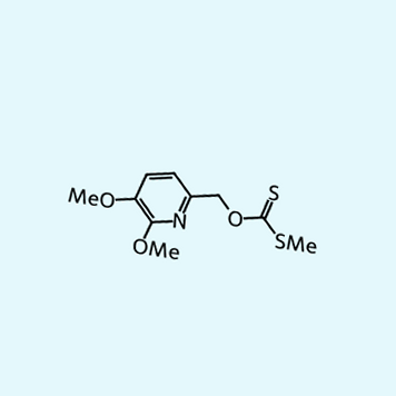 COc1ccc(COC(=S)SC)nc1OC